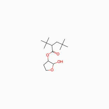 CC(C)(C)CC(C(=O)OC1CCOC1O)C(C)(C)C